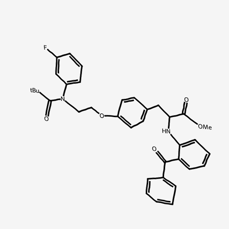 COC(=O)C(Cc1ccc(OCCN(C(=O)C(C)(C)C)c2cccc(F)c2)cc1)Nc1ccccc1C(=O)c1ccccc1